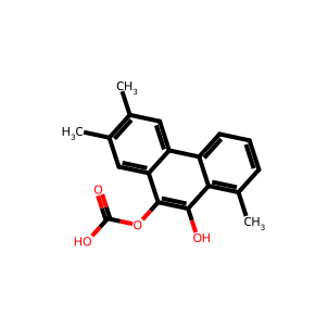 Cc1cc2c(OC(=O)O)c(O)c3c(C)cccc3c2cc1C